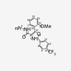 CCCNC(=O)c1nc(-c2ccc(C(F)(F)F)cc2)oc1-c1ccccc1OC